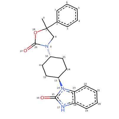 CC1(c2ccccc2)CN([C@H]2CC[C@H](n3c(=O)[nH]c4ccccc43)CC2)C(=O)O1